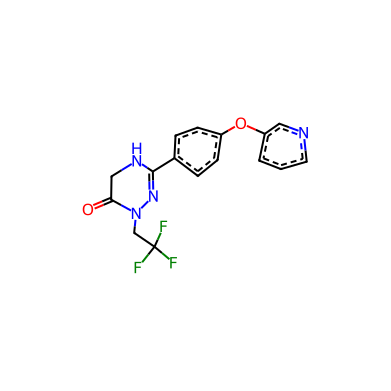 O=C1CNC(c2ccc(Oc3cccnc3)cc2)=NN1CC(F)(F)F